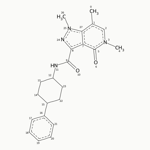 Cc1cn(C)c(=O)c2c(C(=O)NC3CCC(c4ccccc4)CC3)nn(C)c12